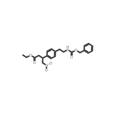 CCOC(=O)CC(C[N+](=O)[O-])c1ccc(CCNC(=O)OCc2ccccc2)cc1